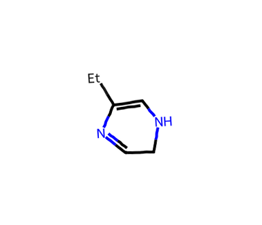 CCC1=CNCC=N1